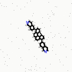 c1cc2cc(-c3ccc4c5c3ccc3ccc6c(-c7ccc8cnccc8c7)ccc-4c6c35)ccc2cn1